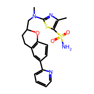 Cc1nc(N(C)CC2CCc3cc(-c4ccccn4)ccc3O2)sc1S(N)(=O)=O